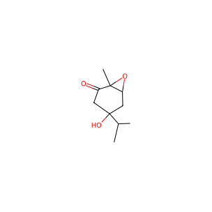 CC(C)C1(O)CC(=O)C2(C)OC2C1